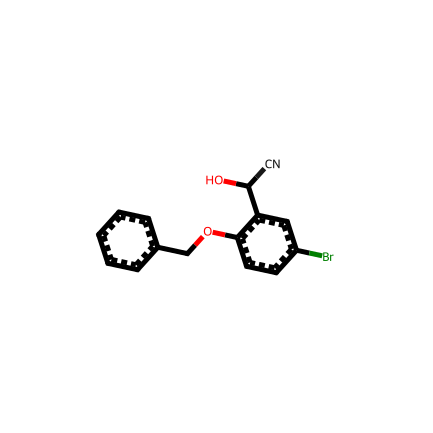 N#CC(O)c1cc(Br)ccc1OCc1ccccc1